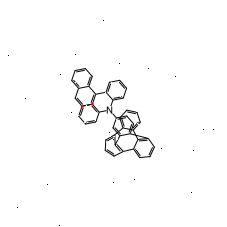 c1ccc(N(c2ccc3c(c2)-c2c4cccc2-c2cccc-3c2-c2ccccc2-4)c2ccccc2-c2cccc3ccccc23)cc1